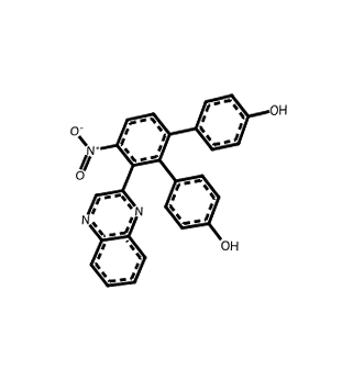 O=[N+]([O-])c1ccc(-c2ccc(O)cc2)c(-c2ccc(O)cc2)c1-c1cnc2ccccc2n1